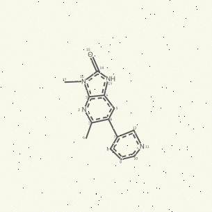 Cc1nc2c(cc1-c1cccnc1)[nH]c(=O)n2C